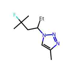 CCC(CC(C)(C)F)n1cc(C)nn1